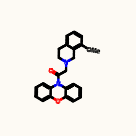 COc1cccc2c1CN(CC(=O)N1c3ccccc3Oc3ccccc31)CC2